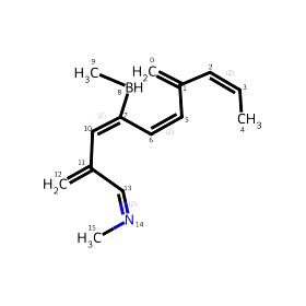 C=C(/C=C\C)/C=C\C(BC)=C/C(=C)/C=N\C